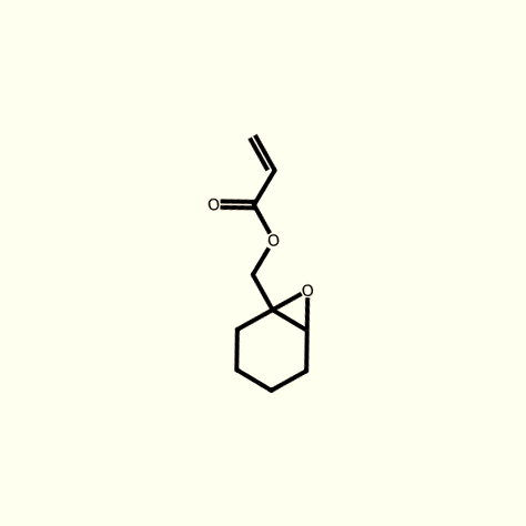 C=CC(=O)OCC12CCCCC1O2